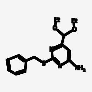 CCOC(OCC)c1cc(N)nc(SCc2ccccc2)n1